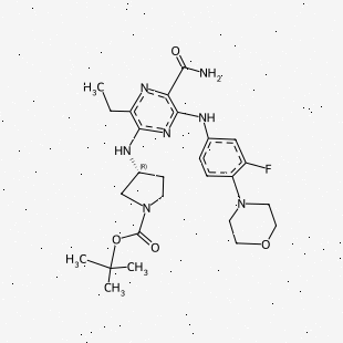 CCc1nc(C(N)=O)c(Nc2ccc(N3CCOCC3)c(F)c2)nc1N[C@@H]1CCN(C(=O)OC(C)(C)C)C1